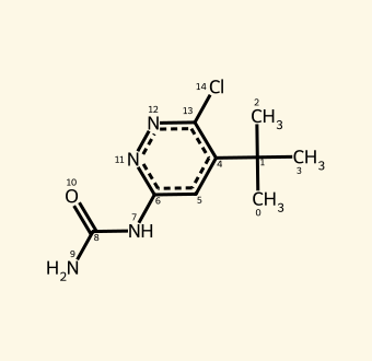 CC(C)(C)c1cc(NC(N)=O)nnc1Cl